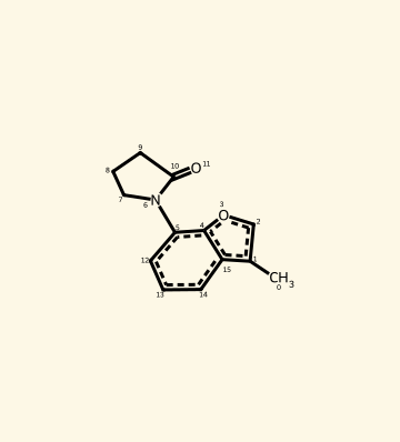 Cc1coc2c(N3CCCC3=O)cccc12